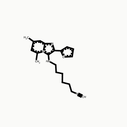 C#[N+]CCCCCCNc1c(-c2ccco2)nc2cc(C)cc(C)n12